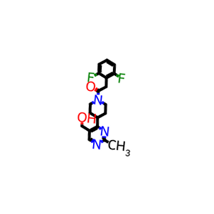 Cc1ncc(CO)c(C2CCN(C(=O)Cc3c(F)cccc3F)CC2)n1